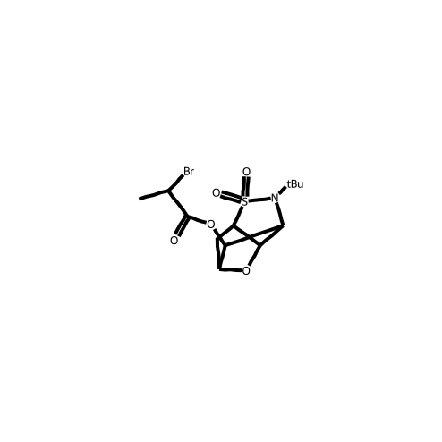 CC(Br)C(=O)OC1C2CC3C(O2)C1N(C(C)(C)C)S3(=O)=O